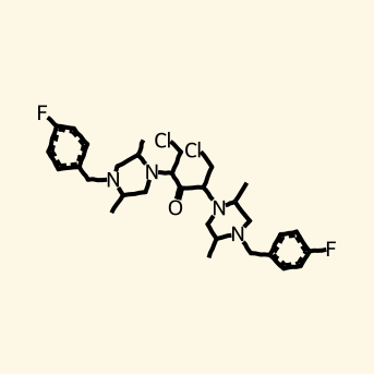 CC1CN(C(CCl)C(=O)C(CCl)N2CC(C)N(Cc3ccc(F)cc3)CC2C)C(C)CN1Cc1ccc(F)cc1